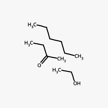 CCC(C)=O.CCCCCC.CCO